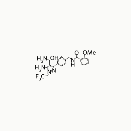 COc1ccccc1C(=O)NCc1ccc(-c2nn(CC(F)(F)F)c(N)c2C(N)O)cc1